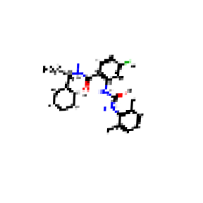 Cc1cccc(C)c1NC(=O)Nc1cc(Cl)ccc1C(=O)N[C@H](C(=O)O)C1CCCCC1